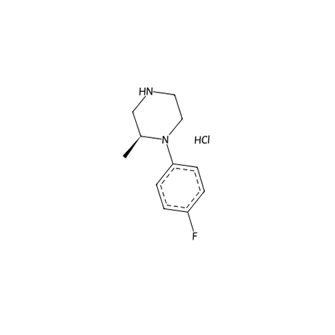 C[C@H]1CNCCN1c1ccc(F)cc1.Cl